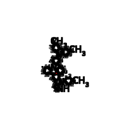 Cc1ccc(-n2c3ccc(-c4ccccc4-n4c5ccccc5c5cc(-n6c7ccc(C)cc7c7cc(C)ccc76)ccc54)cc3c3cc[nH]c32)cc1